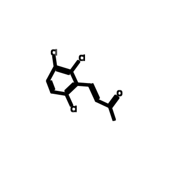 CC(=O)C=Cc1c(Cl)ccc(Cl)c1Cl